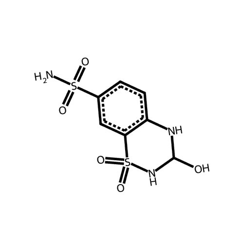 NS(=O)(=O)c1ccc2c(c1)S(=O)(=O)NC(O)N2